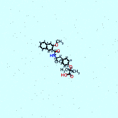 COc1cc2ccccc2cc1C(=O)NC(C)Cc1ccc(OC(C)(C)C(=O)O)cc1